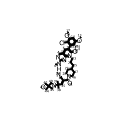 CNc1ncc2cc(-c3c(Cl)c(OC)cc(OC)c3Cl)c(=O)n(CCCC3CCN(C(=O)C(C#N)=CC(C)(C)N4CC5(COC5)C4)CC3)c2n1